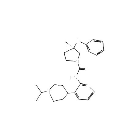 CC(C)N1CCC(c2cccnc2NC(=O)N2CC[C@](C)(Oc3ccccc3)C2)CC1